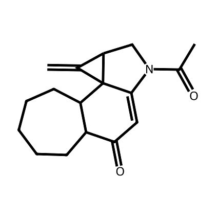 C=C1C2CN(C(C)=O)C3=CC(=O)C4CCCCCC4C132